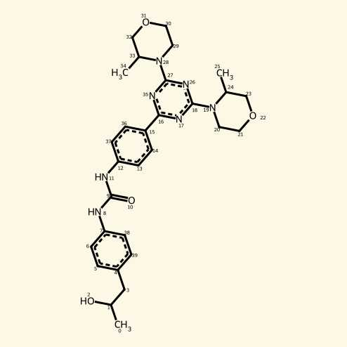 CC(O)Cc1ccc(NC(=O)Nc2ccc(-c3nc(N4CCOCC4C)nc(N4CCOCC4C)n3)cc2)cc1